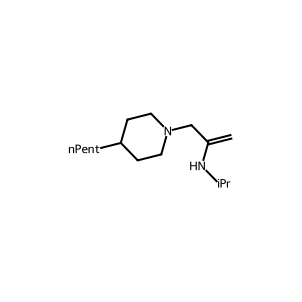 C=C(CN1CCC(CCCCC)CC1)NC(C)C